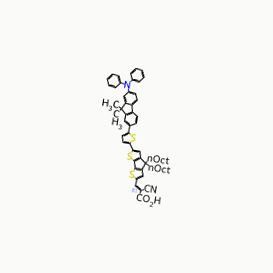 CCCCCCCCC1(CCCCCCCC)c2cc(/C=C(\C#N)C(=O)O)sc2-c2sc(-c3ccc(-c4ccc5c(c4)C(C)(C)c4cc(N(c6ccccc6)c6ccccc6)ccc4-5)s3)cc21